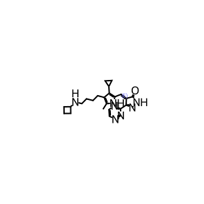 Cc1[nH]c(/C=C2/C(=O)NN=C2c2nccnn2)c(C2CC2)c1CCCCNC1CCC1